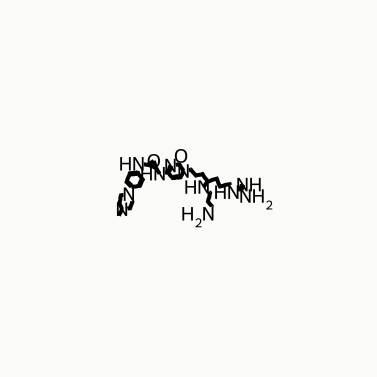 CN1CCN(c2ccc(NC3OC3Nc3ccn(CCCC(CCCNC(=N)N)NCCCN)c(=O)n3)cc2)CC1